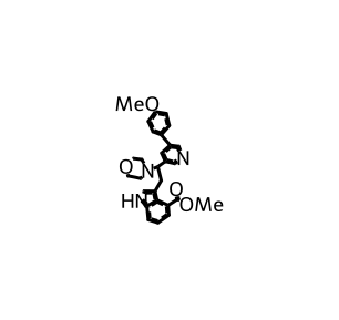 COC(=O)c1cccc2[nH]cc(CC(c3cncc(-c4ccc(OC)cc4)c3)N3CCOCC3)c12